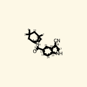 CC1(C)CC2CC(C)(CN2C(=O)c2ccc3[nH]cc(C#N)c3c2)C1